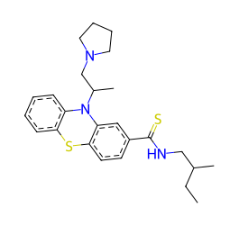 CCC(C)CNC(=S)c1ccc2c(c1)N(C(C)CN1CCCC1)c1ccccc1S2